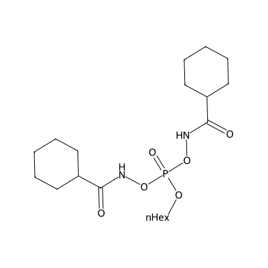 CCCCCCOP(=O)(ONC(=O)C1CCCCC1)ONC(=O)C1CCCCC1